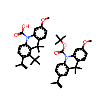 C=C(C)c1ccc2c(c1)C(C)(C)c1ccc(OC)cc1N2C(=O)OC(C)(C)C.C=C(C)c1ccc2c(c1C(C)(C)C)C(C)(C)c1ccc(OC)cc1N2C(=O)O